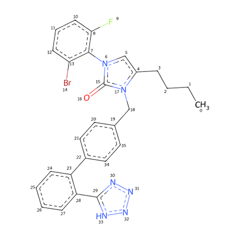 CCCCc1cn(-c2c(F)cccc2Br)c(=O)n1Cc1ccc(-c2ccccc2-c2nnn[nH]2)cc1